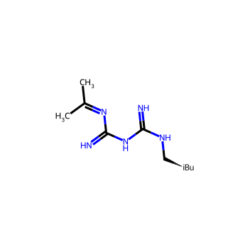 CC[C@H](C)CNC(=N)NC(=N)N=C(C)C